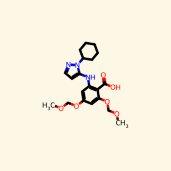 COCOc1cc(Nc2ccnn2C2CCCCC2)c(C(=O)O)c(OCOC)c1